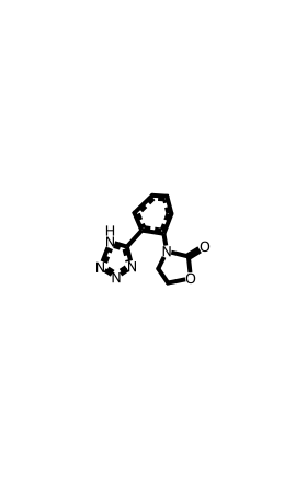 O=C1OCCN1c1ccccc1-c1nnn[nH]1